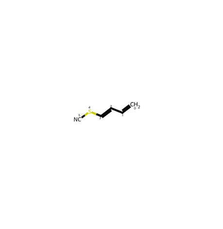 C=CC=CSC#N